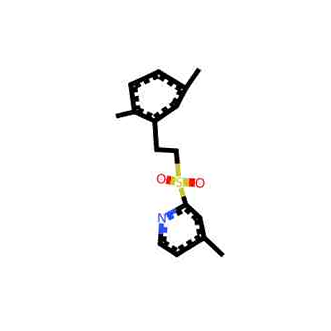 Cc1ccnc(S(=O)(=O)CCc2cc(C)ccc2C)c1